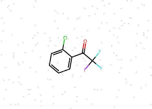 O=C(c1ccccc1Cl)C(F)(F)I